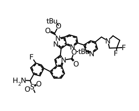 CC(C)(C)OC(=O)n1nc(-c2cc3c(-c4cc(F)cc(C(N)S(C)(=O)=O)c4)cccc3n2C(=O)OC(C)(C)C)c2nc(-c3cncc(CN4CCC(F)(F)C4)c3)ccc21